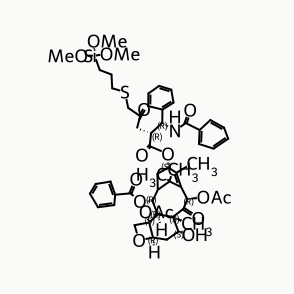 CO[Si](CCCSCC(=O)C[C@@H](C(=O)O[C@H]1CC2[C@@H](OC(=O)c3ccccc3)[C@@H]3[C@]4(OC(C)=O)CO[C@@H]4C[C@H](O)[C@@]3(C)C(=O)[C@H](OC(C)=O)C(=C1C)C2(C)C)[C@@H](NC(=O)c1ccccc1)c1ccccc1)(OC)OC